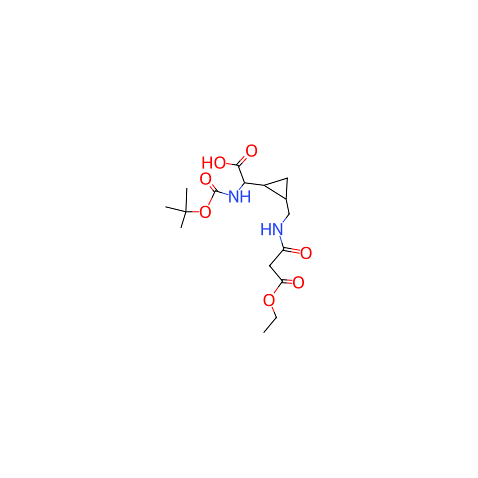 CCOC(=O)CC(=O)NCC1CC1C(NC(=O)OC(C)(C)C)C(=O)O